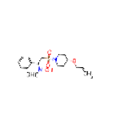 C=CCOC1CCN(S(=O)(=O)CC(c2ccccc2)N(O)C=O)CC1